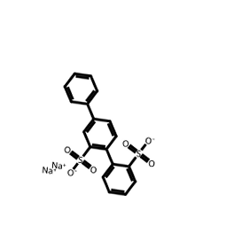 O=S(=O)([O-])c1ccccc1-c1ccc(-c2ccccc2)cc1S(=O)(=O)[O-].[Na+].[Na+]